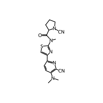 CN(C)c1ccc(-c2csc(N(C)C(=O)C3CCCN3C#N)n2)nc1C#N